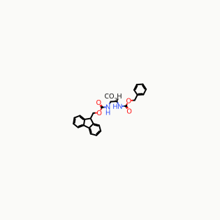 O=C(NCC(NC(=O)OCc1ccccc1)C(=O)O)OCC1c2ccccc2-c2ccccc21